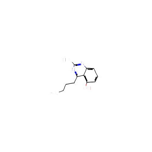 Cc1nc(CCCC(F)(F)F)c2c(O)cccc2n1